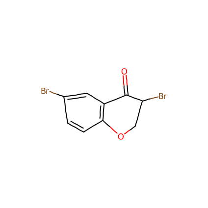 O=C1c2cc(Br)ccc2OCC1Br